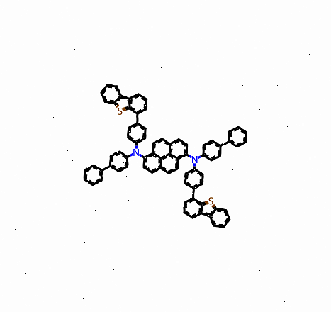 c1ccc(-c2ccc(N(c3ccc(-c4cccc5c4sc4ccccc45)cc3)c3ccc4ccc5c(N(c6ccc(-c7ccccc7)cc6)c6ccc(-c7cccc8c7sc7ccccc78)cc6)ccc6ccc3c4c65)cc2)cc1